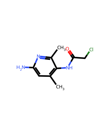 Cc1cc(N)nc(C)c1NC(=O)CCl